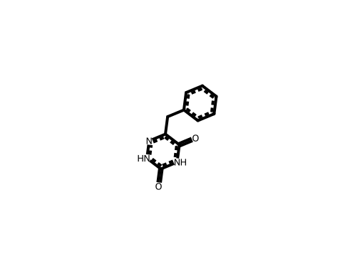 O=c1[nH]nc(Cc2ccccc2)c(=O)[nH]1